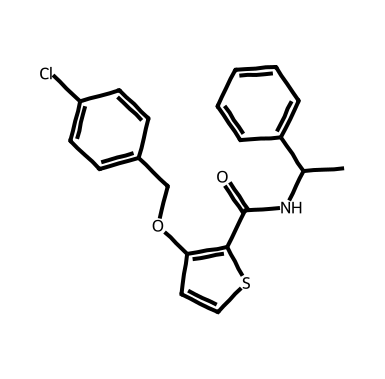 CC(NC(=O)c1sccc1OCc1ccc(Cl)cc1)c1ccccc1